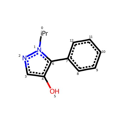 CC(C)n1ncc(O)c1-c1ccccc1